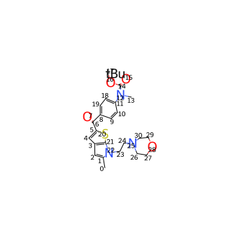 Cc1cc2cc(C(=O)c3ccc(N(C)C(=O)OC(C)(C)C)cc3)sc2n1CCN1CCOCC1